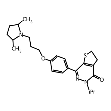 CC1CCC(C)N1CCCOc1ccc(-c2nn(C(C)C)c(=O)c3c2SCC3)cc1